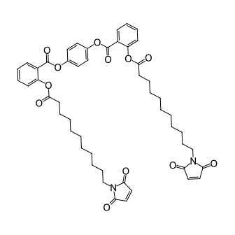 O=C(CCCCCCCCCCN1C(=O)C=CC1=O)Oc1ccccc1C(=O)Oc1ccc(OC(=O)c2ccccc2OC(=O)CCCCCCCCCCN2C(=O)C=CC2=O)cc1